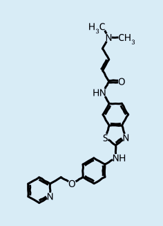 CN(C)C/C=C/C(=O)Nc1ccc2nc(Nc3ccc(OCc4ccccn4)cc3)sc2c1